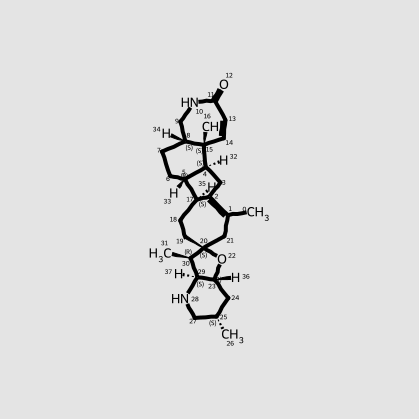 CC1=C2C[C@H]3[C@@H](CC[C@@H]4CNC(=O)C=C[C@@]43C)[C@@H]2CC[C@@]2(C1)O[C@@H]1C[C@H](C)CN[C@H]1[C@H]2C